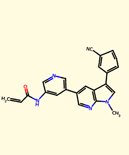 C=CC(=O)Nc1cncc(-c2cnc3c(c2)c(-c2cccc(C#N)c2)cn3C)c1